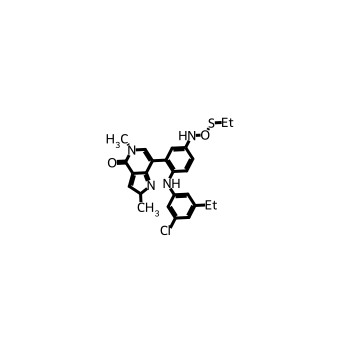 CCSONc1ccc(Nc2cc(Cl)cc(CC)c2)c(-c2cn(C)c(=O)c3c2=NC(C)C=3)c1